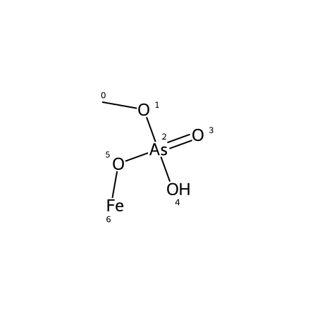 CO[As](=O)(O)[O][Fe]